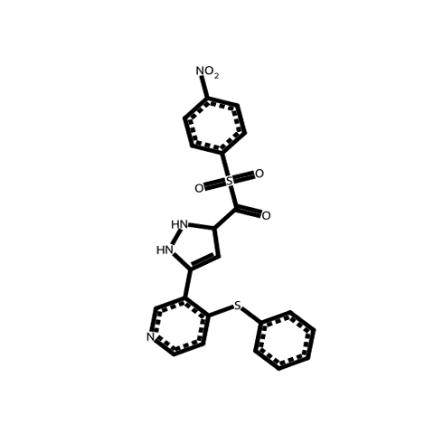 O=C(C1C=C(c2cnccc2Sc2ccccc2)NN1)S(=O)(=O)c1ccc([N+](=O)[O-])cc1